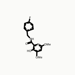 COc1cc(OC)c(O)c(C(=O)NCc2ccc(F)cc2)n1